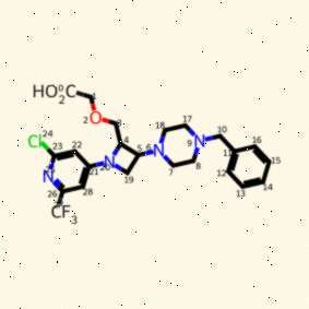 O=C(O)COCC1C(N2CCN(Cc3ccccc3)CC2)CN1c1cc(Cl)nc(C(F)(F)F)c1